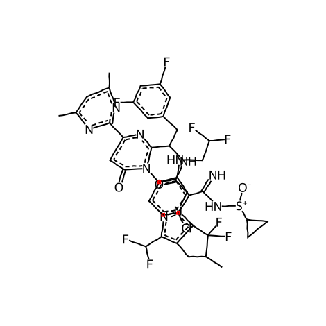 Cc1cc(C)nc(-c2cc(=O)n(-c3ccc(Cl)c(C(=N)N[S+]([O-])C4CC4)c3NCC(F)F)c(C(Cc3cc(F)cc(F)c3)NC(=O)Cn3nc(C(F)F)c4c3C(F)(F)C(C)C4)n2)n1